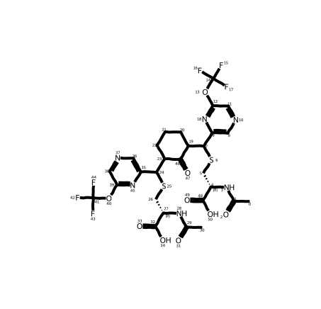 CC(=O)N[C@@H](CSC(c1cncc(OC(F)(F)F)n1)C1CCCC(C(SC[C@H](NC(C)=O)C(=O)O)c2cncc(OC(F)(F)F)n2)C1=O)C(=O)O